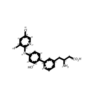 Cl.NC(CC(=O)O)Cc1ccnc(-c2ccc(Oc3ncc(Cl)cc3F)cc2)c1